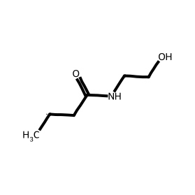 C[CH]CC(=O)NCCO